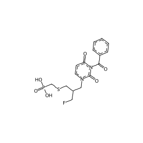 O=C(c1ccccc1)n1c(=O)ccn(CC(CF)CSCP(=O)(O)O)c1=O